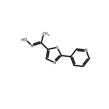 C/C(=N\O)c1cnc(-c2cccnc2)s1